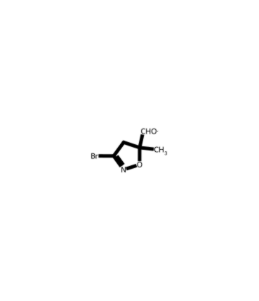 CC1([C]=O)CC(Br)=NO1